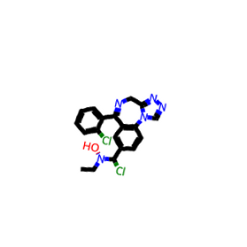 CCN(O)C(Cl)c1ccc2c(c1)C(c1ccccc1Cl)=NCc1nncn1-2